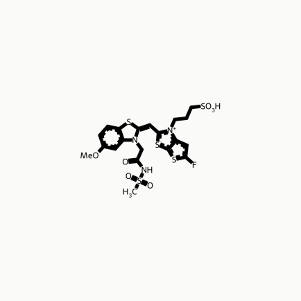 COc1ccc2c(c1)N(CC(=O)NS(C)(=O)=O)C(=Cc1sc3sc(F)cc3[n+]1CCCS(=O)(=O)O)S2